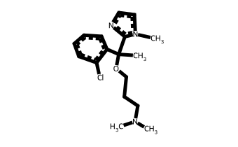 CN(C)CCCOC(C)(c1ccccc1Cl)c1nccn1C